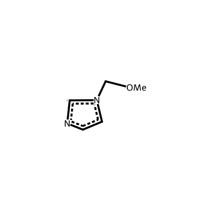 COCn1[c]ncc1